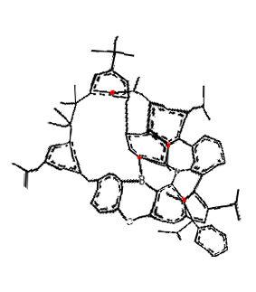 CC(C)C1=CC(C(C)C)=C(c2cccc(-c3c(C(C)C)cc(C(C)C)cc3C(C)C)c2N2c3ccc4cc3B3c5cc(ccc5Oc5cc(-c6ccccc6)cc2c53)-c2cc(C(C)C)cc(c2)C(C)(C)C(C)(C)c2cc-4cc(C(C)(C)C)c2)C1C